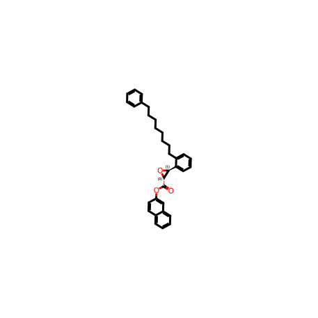 O=C(Oc1ccc2ccccc2c1)[C@@H]1O[C@H]1c1ccccc1CCCCCCCCc1ccccc1